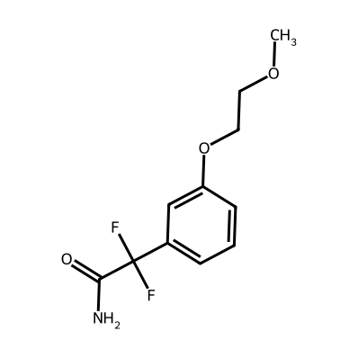 COCCOc1cccc(C(F)(F)C(N)=O)c1